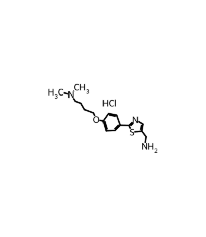 CN(C)CCCCOc1ccc(-c2ncc(CN)s2)cc1.Cl